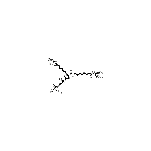 CCCCCCCCCCC(CC)OC(=O)CCCCCN1CC(OC(=O)CCNC(=S)N(C)C)C[C@H]1C(=O)OCCCCCCCC(=O)OC(CCCCCCCC)CCCCCCCC